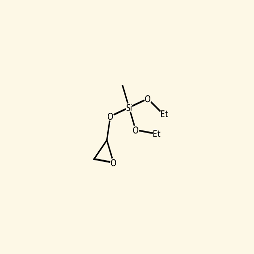 CCO[Si](C)(OCC)OC1CO1